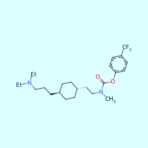 CCN(CC)CCC[C@H]1CC[C@H](CCN(C)C(=O)Oc2ccc(C(F)(F)F)cc2)CC1